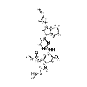 C#CC12CC(n3cc(-c4ccnc(Nc5cc(NC(=O)C=C)c(N(C)CCNC)cc5OC)n4)c4ccccc43)(C1)C2